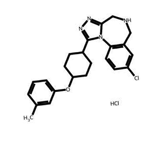 Cc1cccc(OC2CCC(c3nnc4n3-c3ccc(Cl)cc3CNC4)CC2)c1.Cl